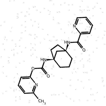 Cc1cccc(OC(=O)N[C@@]23CCC[C@@](NC(=O)c4ccccn4)(CC2)C3)n1